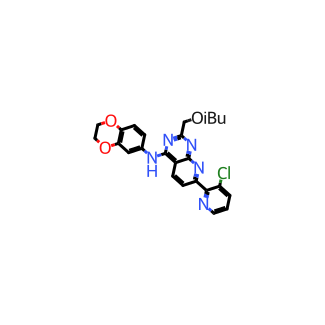 CC(C)COCc1nc(Nc2ccc3c(c2)OCCO3)c2ccc(-c3ncccc3Cl)nc2n1